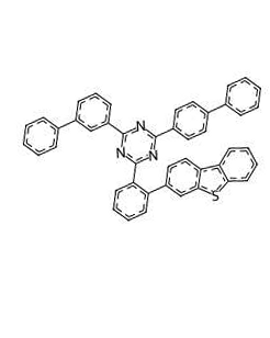 c1ccc(-c2ccc(-c3nc(-c4cccc(-c5ccccc5)c4)nc(-c4ccccc4-c4ccc5c(c4)sc4ccccc45)n3)cc2)cc1